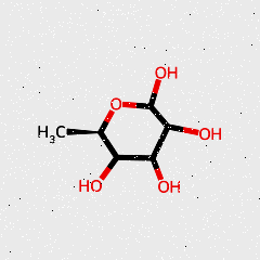 C[C@H]1OC(O)C(O)C(O)C1O